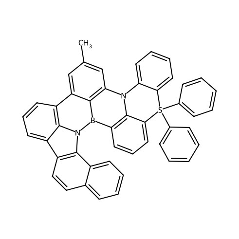 Cc1cc2c3c(c1)N1c4ccccc4S(c4ccccc4)(c4ccccc4)c4cccc(c41)B3n1c3c-2cccc3c2ccc3ccccc3c21